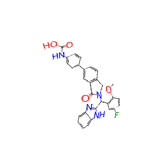 COc1ccc(F)cc1C(c1nc2ccccc2[nH]1)N1Cc2ccc(-c3ccc(NC(=O)O)cc3)cc2C1=O